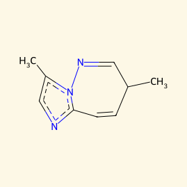 Cc1cnc2n1N=CC(C)C=C2